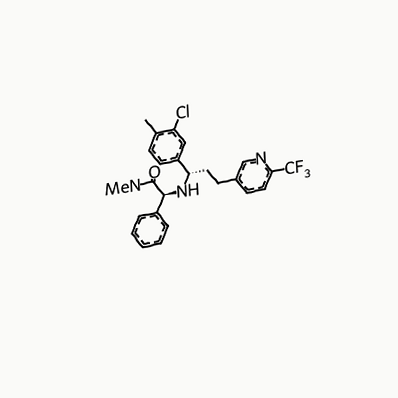 CNC(=O)[C@@H](N[C@@H](CCc1ccc(C(F)(F)F)nc1)c1ccc(C)c(Cl)c1)c1ccccc1